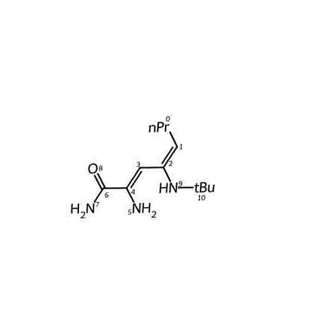 CCC/C=C(\C=C(/N)C(N)=O)NC(C)(C)C